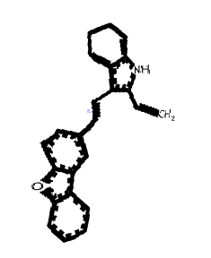 C=Cc1[nH]c2c(c1/C=C/c1ccc3oc4ccccc4c3c1)=CCCC=2